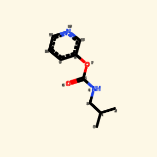 CC(C)CNC(=O)Oc1cccnc1